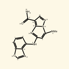 CNc1cc(Nc2cccc3ocnc23)nc2c(C(N)=O)cnn12